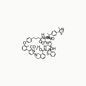 Cc1ncsc1-c1ccc(C(C)NC(=O)[C@@H]2C[C@@H](O)CN2C(=O)C(NC(=O)CCCc2ccc(Oc3cccc(-c4ccc(N5CCc6cccc(C(=O)Nc7nc8ccccc8s7)c6C5)nc4C(=O)O)c3C)cc2)C(C)(C)C)cc1